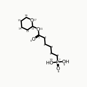 O=C(CCCCCP(=O)(O)O)OC1CCCCO1